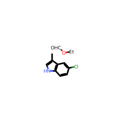 CCOC=O.Cc1c[nH]c2ccc(Cl)cc12